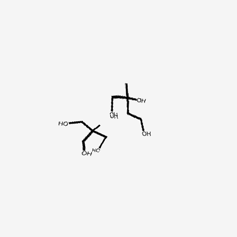 CC(CO)(CO)CO.CC(O)(CO)CCO